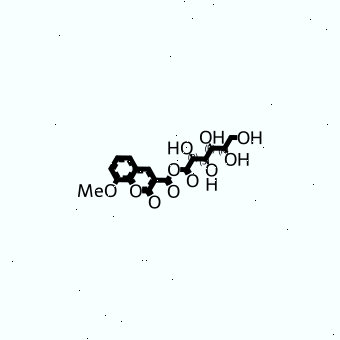 COc1cccc2cc(C(=O)OC(=O)[C@H](O)[C@@H](O)[C@H](O)[C@H](O)CO)c(=O)oc12